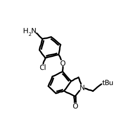 CC(C)(C)CN1Cc2c(Oc3ccc(N)cc3Cl)cccc2C1=O